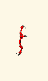 C=CC(=O)OCCCCCCOc1ccc(C(=O)Oc2ccc(OCCCCCCOc3ccc(C#Cc4ccc5cc(OCCCCCC(=O)C(=O)C=C)ccc5c4)cc3)c(C(=O)OCCCCC)c2)cc1